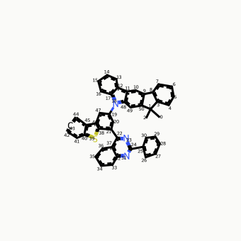 CC1(C)c2ccccc2-c2cc3c4ccccc4n(-c4cc(-c5nc(-c6ccccc6)nc6ccccc56)c5sc6ccccc6c5c4)c3cc21